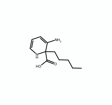 CCCCCC1(C(=O)O)NC=CC=C1N